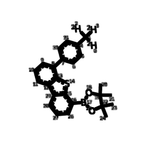 [2H]C([2H])([2H])c1ccc(-c2cccc3c2sc2c(B4OC(C)(C)C(C)(C)O4)cccc23)cc1